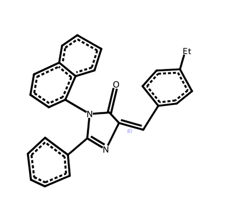 CCc1ccc(/C=C2/N=C(c3ccccc3)N(c3cccc4ccccc34)C2=O)cc1